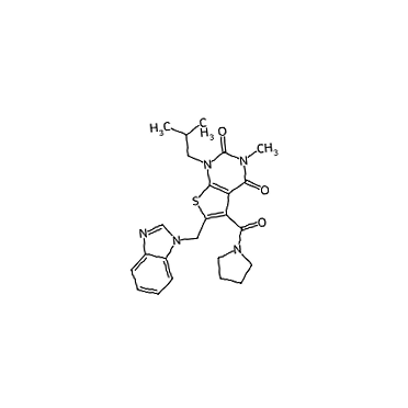 CC(C)Cn1c(=O)n(C)c(=O)c2c(C(=O)N3CCCC3)c(Cn3cnc4ccccc43)sc21